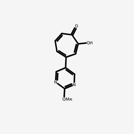 COc1ncc(-c2cccc(=O)c(O)c2)cn1